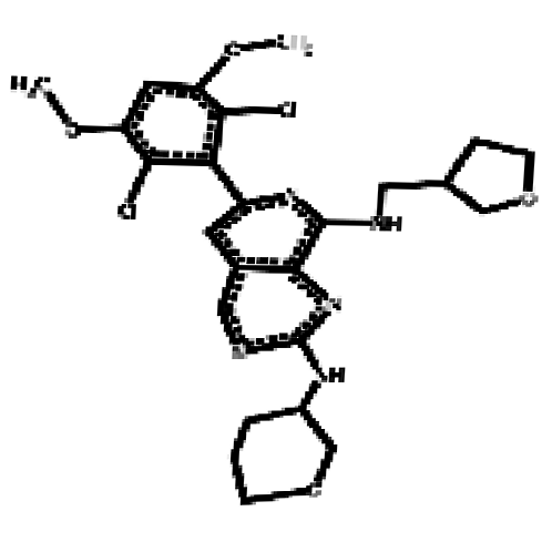 COc1cc(OC)c(Cl)c(-c2cc3cnc(NC4CCCOC4)nc3c(NCC3CCOC3)n2)c1Cl